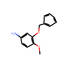 COc1ccc(N)cc1OCc1ccccc1